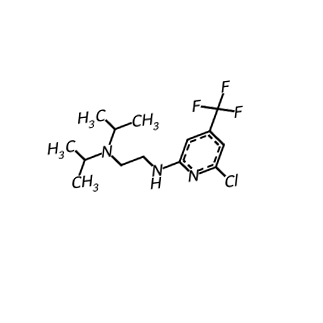 CC(C)N(CCNc1cc(C(F)(F)F)cc(Cl)n1)C(C)C